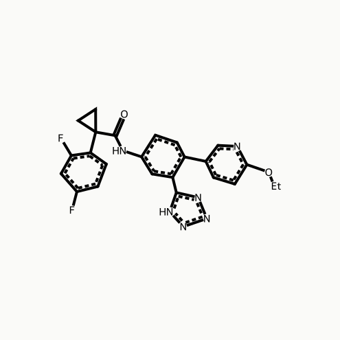 CCOc1ccc(-c2ccc(NC(=O)C3(c4ccc(F)cc4F)CC3)cc2-c2nnn[nH]2)cn1